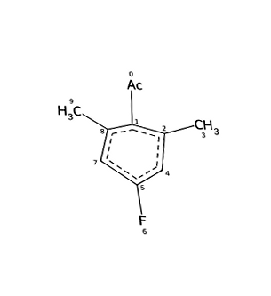 CC(=O)c1c(C)cc(F)cc1C